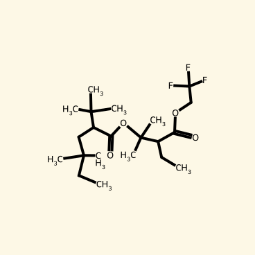 CCC(C(=O)OCC(F)(F)F)C(C)(C)OC(=O)C(CC(C)(C)CC)C(C)(C)C